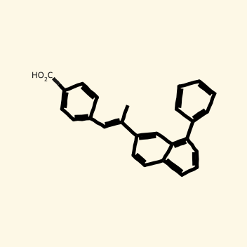 CC(=Cc1ccc(C(=O)O)cc1)c1ccc2cccc(-c3ccccc3)c2c1